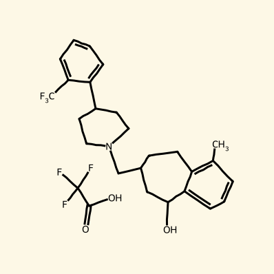 Cc1cccc2c1CCC(CN1CCC(c3ccccc3C(F)(F)F)CC1)CC2O.O=C(O)C(F)(F)F